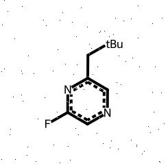 CC(C)(C)Cc1cncc(F)n1